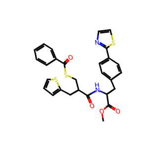 COC(=O)C(Cc1ccc(-c2nccs2)cc1)NC(=O)C(CSC(=O)c1ccccc1)Cc1cccs1